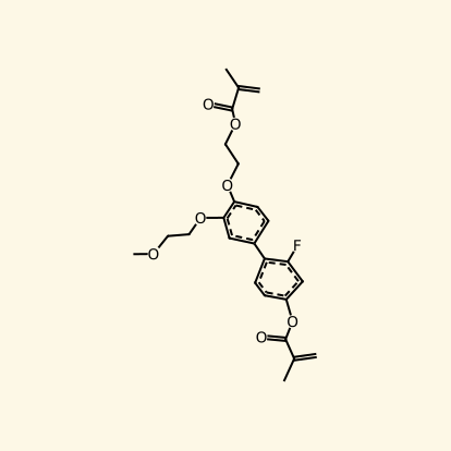 C=C(C)C(=O)OCCOc1ccc(-c2ccc(OC(=O)C(=C)C)cc2F)cc1OCCOC